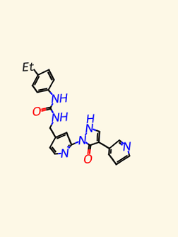 CCc1ccc(NC(=O)NCc2ccnc(-n3[nH]cc(-c4cccnc4)c3=O)c2)cc1